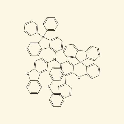 c1ccc(-c2cc(N(c3ccc4oc5cccc(N(c6ccccc6)c6ccccc6)c5c4c3)c3cccc4c3-c3ccccc3C4(c3ccccc3)c3ccccc3)cc3c2Oc2ccccc2C32c3ccccc3-c3ccccc32)cc1